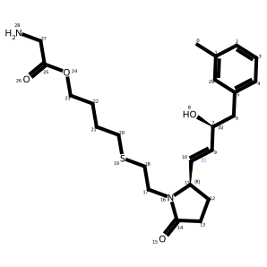 Cc1cccc(C[C@H](O)/C=C/[C@H]2CCC(=O)N2CCSCCCCOC(=O)CN)c1